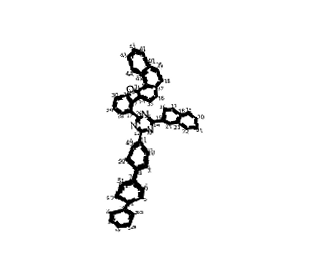 c1ccc(-c2ccc(-c3ccc(-c4nc(-c5ccc6ccccc6c5)nc(-c5cccc6oc7c(ccc8ccc9ccccc9c87)c56)n4)cc3)cc2)cc1